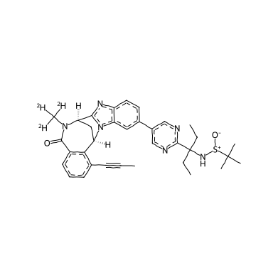 [2H]C([2H])([2H])N1C(=O)c2cccc(C#CC)c2[C@H]2C[C@@H]1c1nc3ccc(-c4cnc(C(CC)(CC)N[S+]([O-])C(C)(C)C)nc4)cc3n12